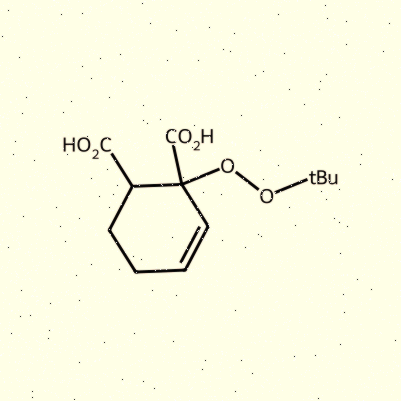 CC(C)(C)OOC1(C(=O)O)C=CCCC1C(=O)O